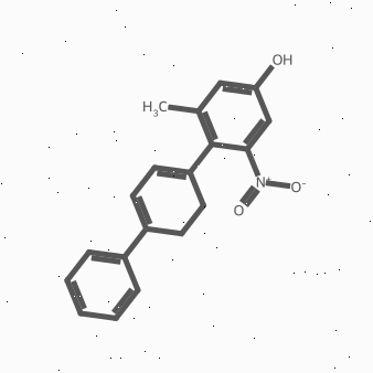 Cc1cc(O)cc([N+](=O)[O-])c1C1=CC=C(c2ccccc2)CC1